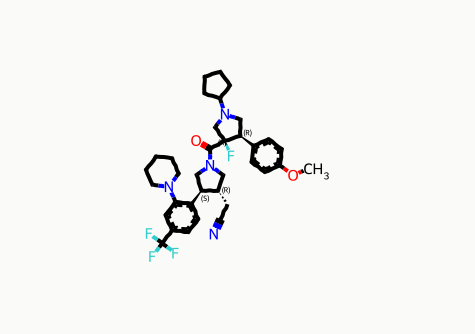 COc1ccc([C@@H]2CN(C3CCCC3)C[C@@]2(F)C(=O)N2C[C@H](CC#N)[C@@H](c3ccc(C(F)(F)F)cc3N3CCCCC3)C2)cc1